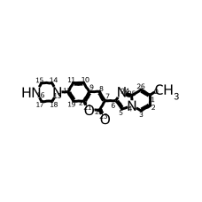 Cc1ccn2cc(-c3cc4ccc(N5CCNCC5)cc4oc3=O)nc2c1